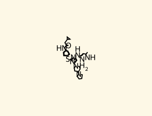 CC(=N)/C=C(\N)Nc1cc(N2CCC(N3CCCC3)CC2)nc(Sc2ccc(NC(=O)CC3CC3)cc2)n1